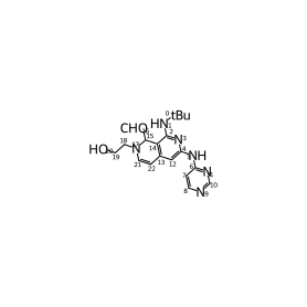 CC(C)(C)Nc1nc(Nc2ccncn2)cc2c1C(C=O)N(CCO)C=C2